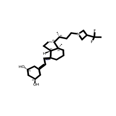 C[C@H](CCN1CC(C(C)(F)F)C1)[C@H]1CC[C@H]2/C(=C/C=C3C[C@@H](O)C[C@H](O)C3)CCC[C@]12C